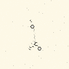 CCn1c(-c2nonc2N)nc2c(-c3ccccc3)ncc(OCCCCNCCc3ccc(OC(=O)C(F)(F)F)c(F)c3)c21